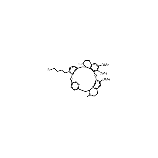 COc1cc2c3cc1Oc1c(OC)c(OC)cc4c1C(Cc1ccc(CCCCBr)c(c1)Oc1ccc(cc1)CC3N(C)CC2)N(C)CC4